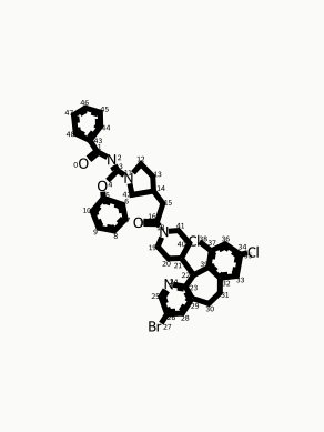 O=C(N=C(Oc1ccccc1)N1CCC(CC(=O)N2CCC(C3c4ncc(Br)cc4CCc4cc(Cl)cc(Cl)c43)CC2)C1)c1ccccc1